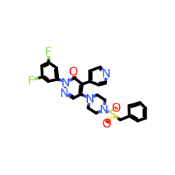 O=c1c(-c2ccncc2)c(N2CCN(S(=O)(=O)Cc3ccccc3)CC2)cnn1-c1cc(F)cc(F)c1